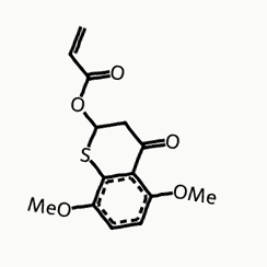 C=CC(=O)OC1CC(=O)c2c(OC)ccc(OC)c2S1